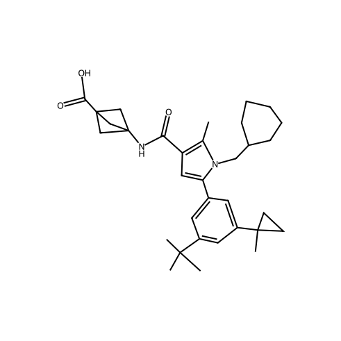 Cc1c(C(=O)NC23CC(C(=O)O)(C2)C3)cc(-c2cc(C(C)(C)C)cc(C3(C)CC3)c2)n1CC1CCCCC1